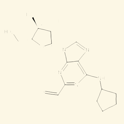 CC[C@H]1O[C@@H](n2cnc3c(NC4CCCC4)nc(C=O)nc32)[C@@H](F)[C@@H]1C